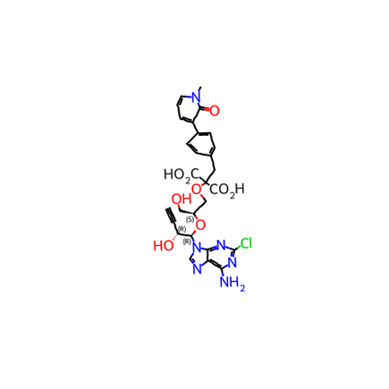 C#C[C@@H](O)[C@@H](O[C@@H](CO)COC(Cc1ccc(-c2cccn(C)c2=O)cc1)(C(=O)O)C(=O)O)n1cnc2c(N)nc(Cl)nc21